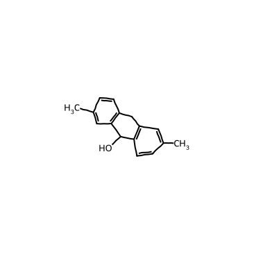 Cc1ccc2c(c1)Cc1ccc(C)cc1C2O